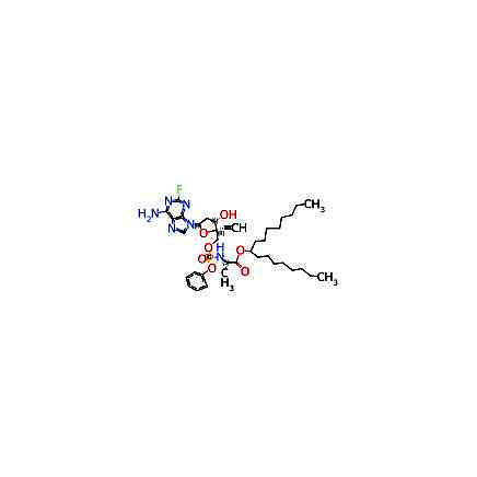 C#C[C@]1(CO[P@](=O)(N[C@@H](C)C(=O)OC(CCCCCCCC)CCCCCCCC)Oc2ccccc2)O[C@@H](n2cnc3c(N)nc(F)nc32)C[C@@H]1O